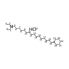 CCN(CC)CCCCCCCCCCCCCCCCC1CCCCC1.Cl